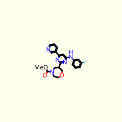 COC(=O)N1CCOCC(c2nc(Nc3cccc(F)c3)cc(-c3cccnc3)n2)C1